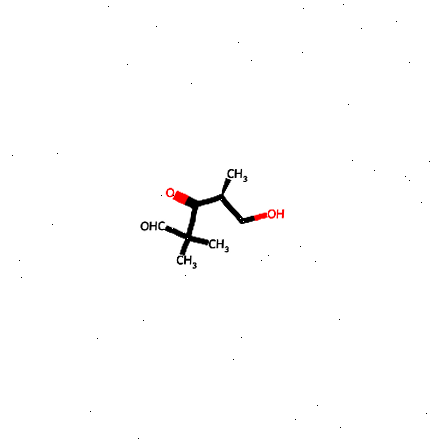 C[C@@H](CO)C(=O)C(C)(C)C=O